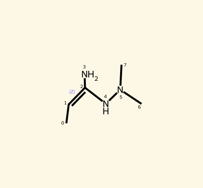 C/C=C(/N)NN(C)C